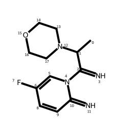 CC(C(=N)n1cc(F)ccc1=N)N1CCOCC1